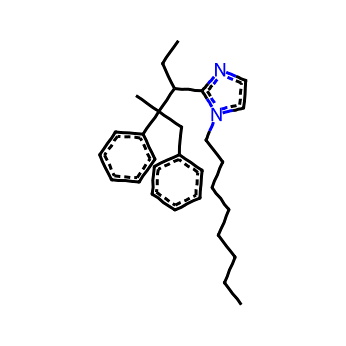 CCCCCCCCn1ccnc1C(CC)C(C)(Cc1ccccc1)c1ccccc1